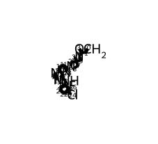 C=CC(=O)N1CC2(CCN(c3ccc4ncnc(Nc5cccc(Cl)c5F)c4n3)C2)C1